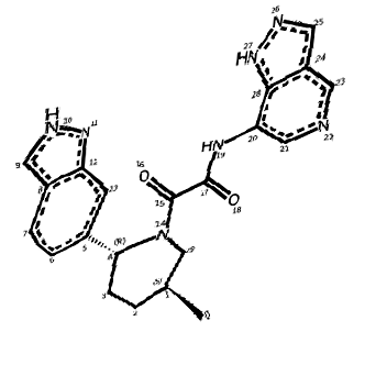 C[C@H]1CC[C@H](c2ccc3c[nH]nc3c2)N(C(=O)C(=O)Nc2cncc3cn[nH]c23)C1